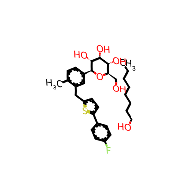 CCCCCCCCO.Cc1ccc([C@@H]2O[C@H](CO)[C@@H](O)[C@H](O)[C@H]2O)cc1Cc1ccc(-c2ccc(F)cc2)s1